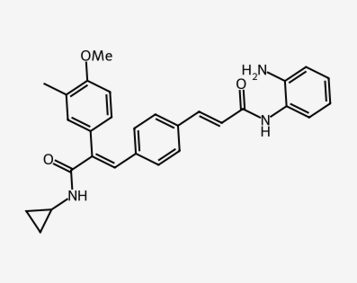 COc1ccc(/C(=C\c2ccc(/C=C/C(=O)Nc3ccccc3N)cc2)C(=O)NC2CC2)cc1C